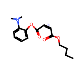 CCCCOC(=O)/C=C\C(=O)Oc1ccccc1N(C)C